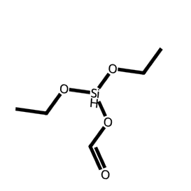 CCO[SiH](OC=O)OCC